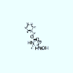 C[C@H](NC(=O)OCc1ccccc1)C(=O)NO